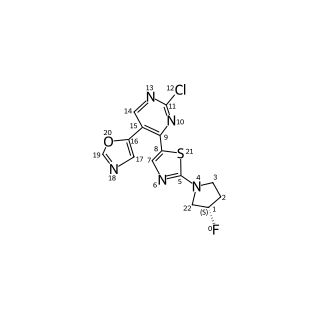 F[C@H]1CCN(c2ncc(-c3nc(Cl)ncc3-c3cnco3)s2)C1